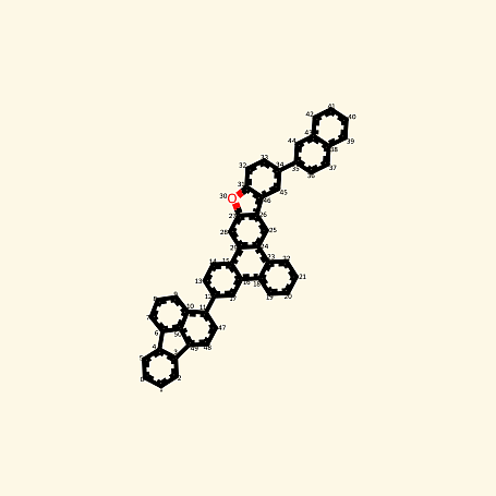 c1ccc2c(c1)-c1cccc3c(-c4ccc5c(c4)c4ccccc4c4cc6c(cc54)oc4ccc(-c5ccc7ccccc7c5)cc46)ccc-2c13